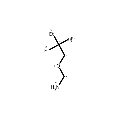 CCCC(CC)(CC)COCN